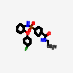 O=C(O)CNC(=O)c1ccc(S(=O)(=O)Nc2ccccc2Oc2ccc(F)cc2)cc1